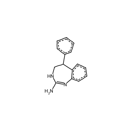 NC1=Nc2ccccc2C(c2ccccc2)CN1